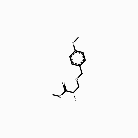 COC(=O)[C@@H](C)COCc1ccc(OC)cc1